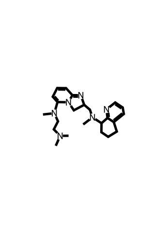 CN(C)CCN(C)C1=CC=CC2=NC(CN(C)C3CCCc4cccnc43)CN12